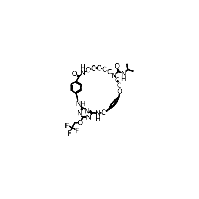 CC(C)NC(=O)N1CCCCCNC(=O)c2ccc(cc2)Nc2nc(nc(OCC(F)(F)F)n2)NCc2ccc(cc2)OCC1